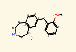 COc1ccccc1Cc1ccc2c(c1)[C@H](C)CNCC2